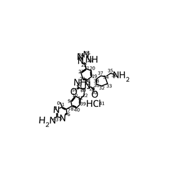 Cc1nc(N)ncc1-c1ccc(C[C@@H](C(N)=O)N(c2ccc(-c3nnn[nH]3)cc2)C(=O)[C@H]2CC[C@H](CN)CC2)cc1.Cl